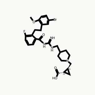 COc1ccc(Br)cc1CCc1c(F)cccc1C(=O)NC(=N)NCC1CCN(C[C@H]2C[C@@H]2C(=O)O)CC1